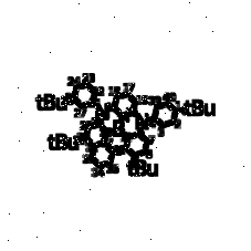 CC(C)(C)c1ccc(N2c3ccc(C(C)(C)C)cc3B3c4c2cccc4N(c2cccc(C(C)(C)C)c2)c2cc(C(C)(C)C)c4ccccc4c23)cc1